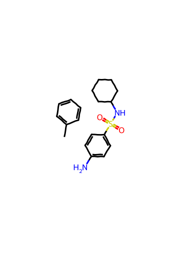 Cc1ccccc1.Nc1ccc(S(=O)(=O)NC2CCCCC2)cc1